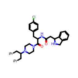 CC(C)CC(CC(C)C)N1CCN(C(=O)C(Cc2ccc(Cl)cc2)NC(=O)CC2NCc3ccccc32)CC1